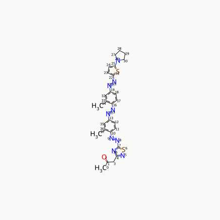 CC(=O)Cc1nsc(/N=N/c2ccc(/N=N/c3ccc(/N=N/c4ccc(N5CCCC5)s4)cc3C)cc2C)n1